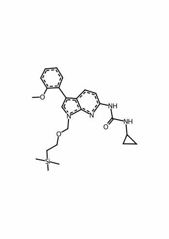 COc1ccccc1-c1cn(COCC[Si](C)(C)C)c2nc(NC(=O)NC3CC3)ccc12